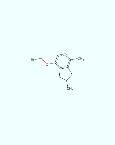 Cc1ccc(OCBr)c2c1CC(C)C2